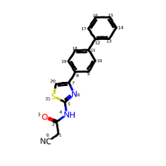 N#CCC(=O)Nc1nc(-c2ccc(-c3ccccc3)cc2)cs1